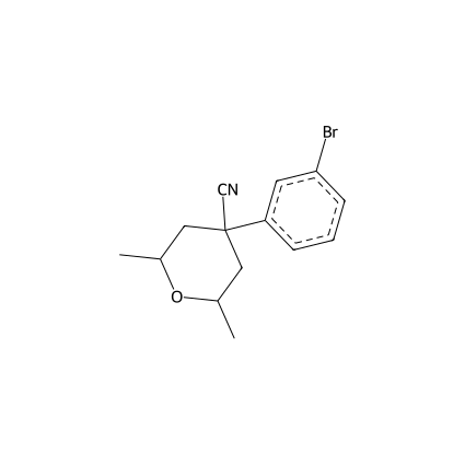 CC1CC(C#N)(c2cccc(Br)c2)CC(C)O1